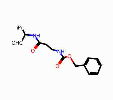 CC(C)C(C=O)NC(=O)CCNC(=O)OCc1ccccc1